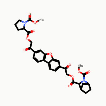 CC(C)(C)OC(=O)N1CCCC1C(=O)OCC(=O)c1ccc2c(c1)oc1cc(C(=O)COC(=O)C3C4CCC(C4)N3C(=O)OC(C)(C)C)ccc12